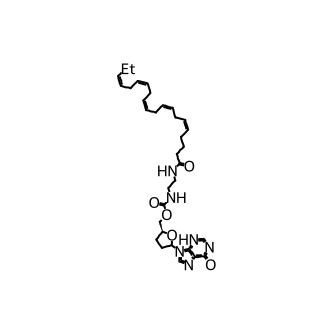 CC/C=C\C/C=C\C/C=C\C/C=C\C/C=C\CCCC(=O)NCCNC(=O)OC[C@@H]1CCC(n2cnc3c(=O)nc[nH]c32)O1